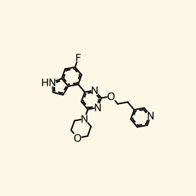 Fc1cc(-c2cc(N3CCOCC3)nc(OCCc3cccnc3)n2)c2cc[nH]c2c1